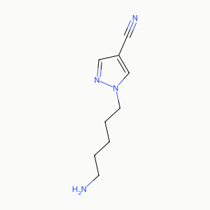 N#Cc1cnn(CCCCCN)c1